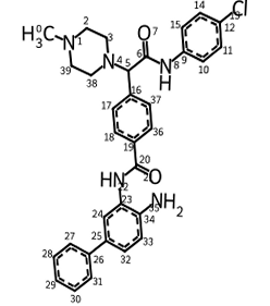 CN1CCN(C(C(=O)Nc2ccc(Cl)cc2)c2ccc(C(=O)Nc3cc(-c4ccccc4)ccc3N)cc2)CC1